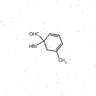 CCCCC1(C=O)C=CC=C(C)C1